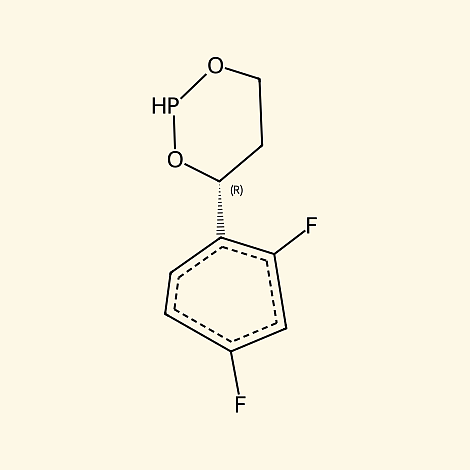 Fc1ccc([C@H]2CCOPO2)c(F)c1